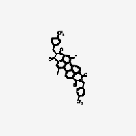 O=C1c2ccc3c4c(F)cc5c6c(cc(F)c(c7ccc(c2c37)C(=O)N1Cc1ccc(C(F)(F)F)cc1)c64)C(=O)N(Cc1ccc(C(F)(F)F)cc1)C5=O